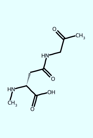 CN[C@H](CC(=O)NCC(C)=O)C(=O)O